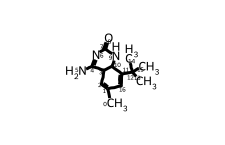 CC1=CC2C(N)=NC(=O)NC2C(C(C)(C)C)=C1